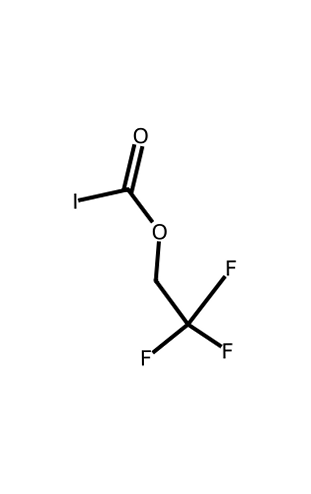 O=C(I)OCC(F)(F)F